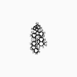 CC1(C)CCC(C)(C)c2c(N(c3ccc4sc5ccccc5c4c3)c3cccc4c3-c3ccccc3C43C4CC5CC6CC3C64C5)cccc21